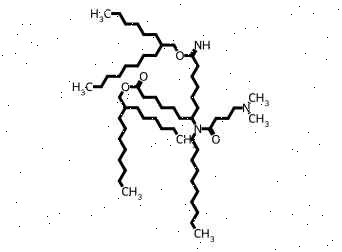 CCCCCCCCCCN(C(=O)CCCN(C)C)C(CCCCCC(=N)OCC(CCCCCC)CCCCCCCC)CCCCCC(=O)OCC(CCCCCC)CCCCCCCC